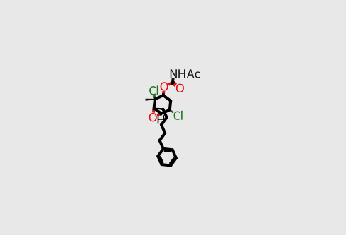 CC(=O)NC(=O)OC1C[C@@H](Cl)[C@H]2O[C@]2(CCCCCc2ccccc2)[C@]1(C)Cl